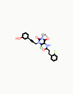 Cn1c(=O)c(NC(=O)CCc2ccccc2F)c(Cl)n(CC#Cc2cccc(O)c2)c1=O